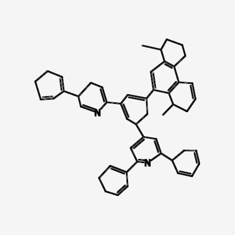 CC1CCCc2c1cc(C1=CC(C3=CCC(C4=CCCC=C4)C=N3)=CC(c3cc(C4=CCCC=C4)nc(C4C=CC=CC4)c3)C1)c1c2C=CCC1C